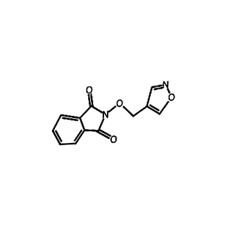 O=C1c2ccccc2C(=O)N1OCc1cnoc1